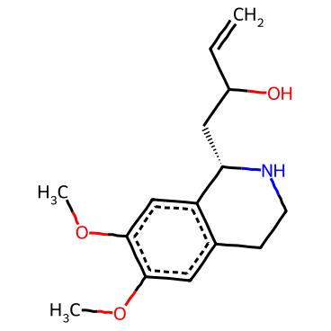 C=CC(O)C[C@@H]1NCCc2cc(OC)c(OC)cc21